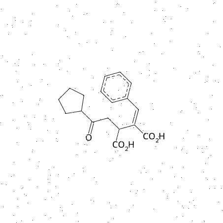 O=C(O)C(=Cc1ccccc1)C(CC(=O)C1CCCC1)C(=O)O